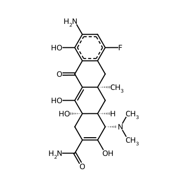 CN(C)[C@@H]1C(O)=C(C(N)=O)C[C@@]2(O)C(O)=C3C(=O)c4c(O)c(N)cc(F)c4C[C@@]3(C)C[C@@H]12